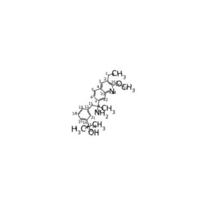 CCc1cc2ccc(C(C)(N)Cc3cccc(C(C)(C)O)c3)cc2nc1OC